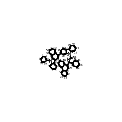 c1ccc(-n2c3ccccc3c3cc(-c4ccc5c6ccccc6n(-c6nc(-c7cc8ccccc8c8ccccc78)c7ccccc7n6)c5c4)c4ccccc4c32)cc1